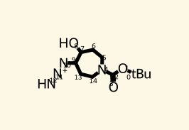 CC(C)(C)OC(=O)N1CCC(O)C(N=[N+]=N)CC1